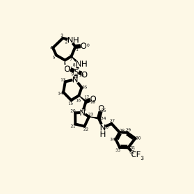 O=C1NCCCC[C@@H]1NS(=O)(=O)N1CCC[C@H](C(=O)N2CCC[C@@H]2C(=O)NCc2ccc(C(F)(F)F)cc2)C1